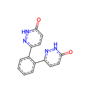 O=c1ccc(-c2ccccc2-c2ccc(=O)[nH]n2)n[nH]1